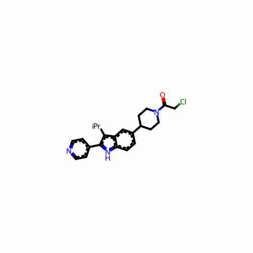 CC(C)c1c(-c2ccncc2)[nH]c2ccc(C3CCN(C(=O)CCl)CC3)cc12